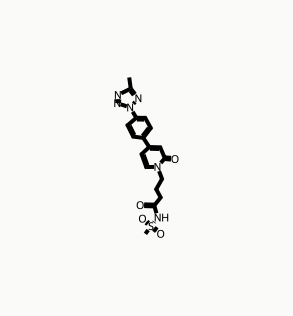 Cc1nnn(-c2ccc(-c3ccn(CCCC(=O)NS(C)(=O)=O)c(=O)c3)cc2)n1